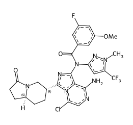 COc1cc(F)cc(C(=O)N(c2cc(C(F)(F)F)n(C)n2)c2nc([C@@H]3CC[C@H]4CCC(=O)N4C3)n3c(Cl)cnc(N)c23)c1